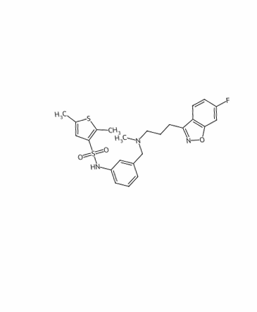 Cc1cc(S(=O)(=O)Nc2cccc(CN(C)CCCc3noc4cc(F)ccc34)c2)c(C)s1